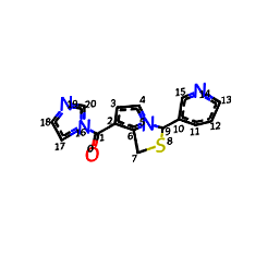 O=C(c1ccn2c1CSC2c1cccnc1)n1ccnc1